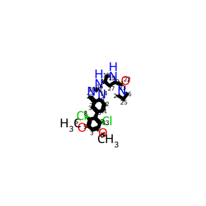 COc1cc(OC)c(Cl)c(-c2ccc3nc(NC4CNC(C(=O)N5CCC5)C4)ncc3c2)c1Cl